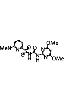 CNc1cccc(S(=O)(=O)NC(=O)Nc2nc(OC)cc(OC)n2)n1